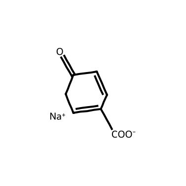 O=C1C=CC(C(=O)[O-])=CC1.[Na+]